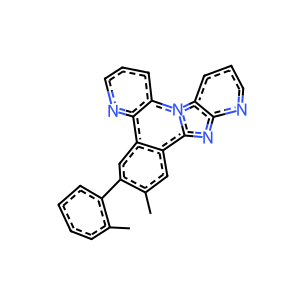 Cc1ccccc1-c1cc2c(cc1C)c1nc3ncccc3n1c1cccnc21